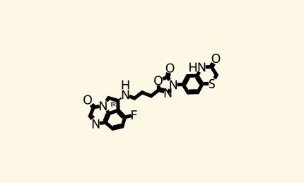 O=C1CSc2ccc(-n3nc(CCCN[C@H]4Cn5c(=O)cnc6ccc(F)c4c65)oc3=O)cc2N1